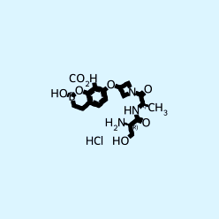 C[C@@H](NC(=O)[C@H](N)CO)C(=O)N1CC(Oc2ccc3c(c2C(=O)O)OB(O)CC3)C1.Cl